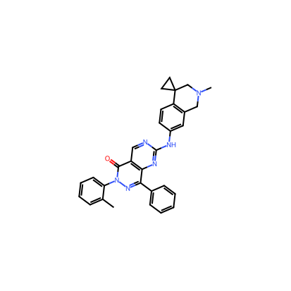 Cc1ccccc1-n1nc(-c2ccccc2)c2nc(Nc3ccc4c(c3)CN(C)CC43CC3)ncc2c1=O